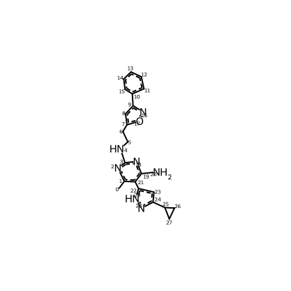 Cc1nc(NCCc2cc(-c3ccccc3)no2)nc(N)c1-c1cc(C2CC2)n[nH]1